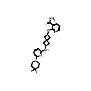 NC(=O)c1cccnc1OC1CC2(CC(Nc3ccnc(N4CCC(F)(F)CC4)n3)C2)C1